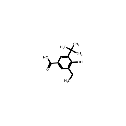 CCc1cc(C(=O)O)cc(C(C)(C)C)c1O